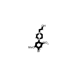 COc1cc(N2CCN(CCO)CC2)c([N+](=O)[O-])cc1Br